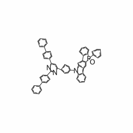 O=P1(c2ccccc2)c2ccccc2-c2cc3c(cc21)c1ccccc1n3-c1ccc(-c2cc(-c3ccc(-c4ccccc4)cc3)nc(-c3ccc(-c4ccccc4)cc3)n2)cc1